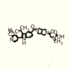 Cc1cc(-c2[nH]c3ccc(C(=O)N4CC5CN(C(=O)CN(C)C(=O)O)CC5C4)cc3c2C(C)C)ccn1